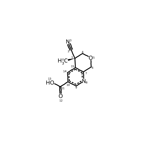 C[C@@]1(C#N)COCc2ncc(C(=O)O)cc21